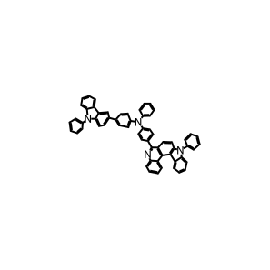 c1ccc(N(c2ccc(-c3ccc4c(c3)c3ccccc3n4-c3ccccc3)cc2)c2ccc(-c3nc4ccccc4c4c3ccc3c4c4ccccc4n3-c3ccccc3)cc2)cc1